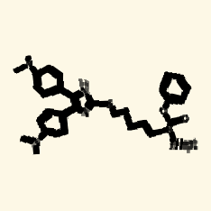 CCCCCCCN(CCCCCSc1nc(-c2ccc(N(C)C)cc2)c(-c2ccc(N(C)C)cc2)[nH]1)C(=O)Oc1ccccc1